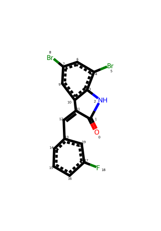 O=C1Nc2c(Br)cc(Br)cc2C1=Cc1cccc(F)c1